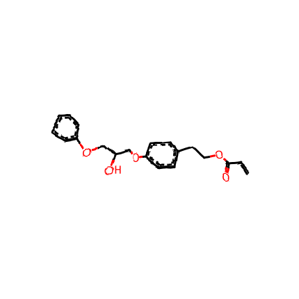 C=CC(=O)OCCc1ccc(OCC(O)COc2ccccc2)cc1